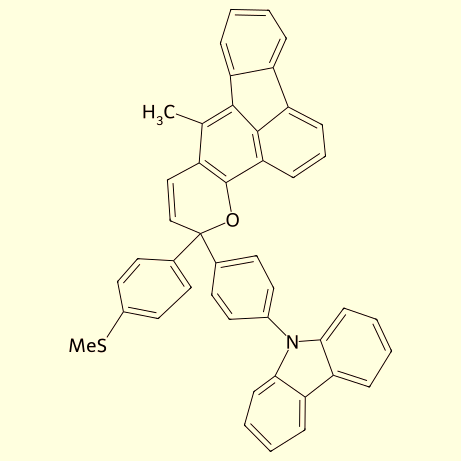 CSc1ccc(C2(c3ccc(-n4c5ccccc5c5ccccc54)cc3)C=Cc3c(C)c4c5c(cccc5c3O2)-c2ccccc2-4)cc1